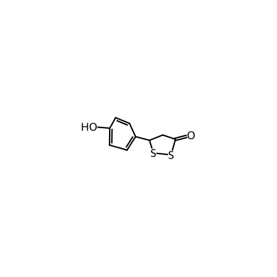 O=C1CC(c2ccc(O)cc2)SS1